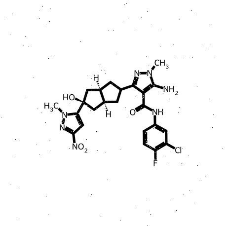 Cn1nc([N+](=O)[O-])cc1[C@]1(O)C[C@H]2CC(c3nn(C)c(N)c3C(=O)Nc3ccc(F)c(Cl)c3)C[C@H]2C1